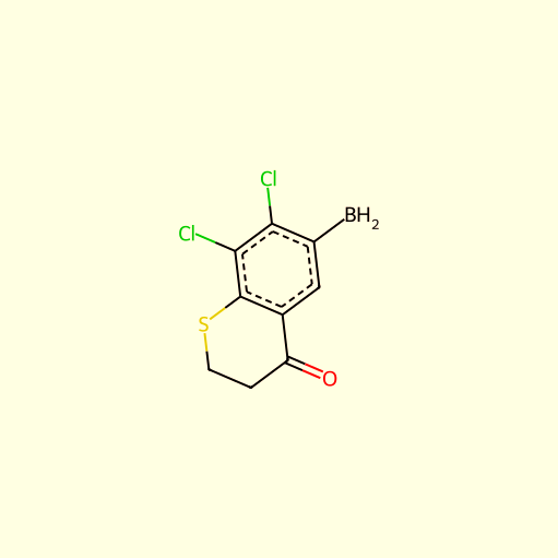 Bc1cc2c(c(Cl)c1Cl)SCCC2=O